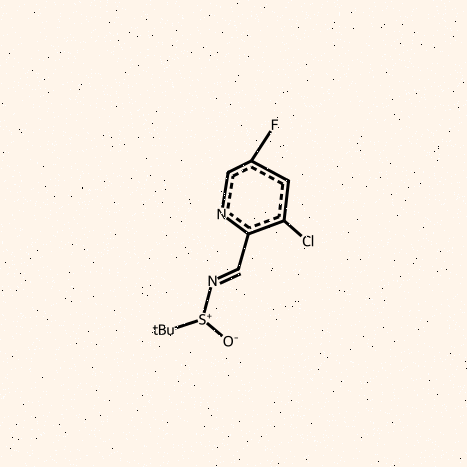 CC(C)(C)[S+]([O-])N=Cc1ncc(F)cc1Cl